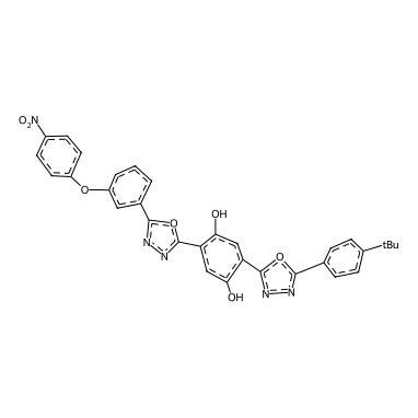 CC(C)(C)c1ccc(-c2nnc(-c3cc(O)c(-c4nnc(-c5cccc(Oc6ccc([N+](=O)[O-])cc6)c5)o4)cc3O)o2)cc1